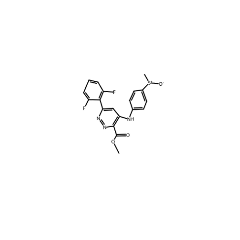 COC(=O)c1nnc(-c2c(F)cccc2F)cc1Nc1ccc([S+](C)[O-])cc1